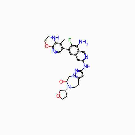 Cc1c(-c2cc3cc(Nc4cc5n(n4)CC(=O)N([C@@H]4CCOC4)CC5)ncc3c(N)c2F)cnc2c1NCCO2